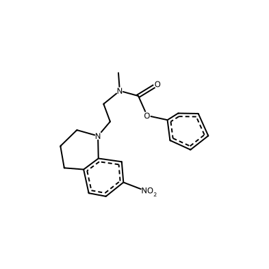 CN(CCN1CCCc2ccc([N+](=O)[O-])cc21)C(=O)Oc1ccccc1